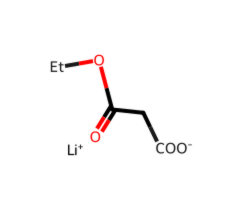 CCOC(=O)CC(=O)[O-].[Li+]